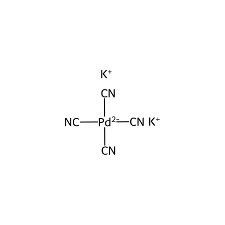 N#[C][Pd-2]([C]#N)([C]#N)[C]#N.[K+].[K+]